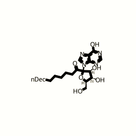 CCCCCCCCCCCCCCCC(=O)[C@@]1(n2cnc3c(O)ncnc32)O[C@H](CO)[C@@H](O)[C@H]1O